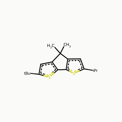 CC(C)c1cc2c(s1)-c1sc(C(C)(C)C)cc1C2(C)C